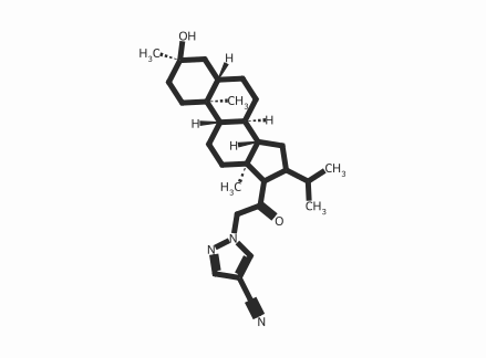 CC(C)C1C[C@H]2[C@@H]3CC[C@H]4C[C@](C)(O)CC[C@]4(C)[C@H]3CC[C@]2(C)C1C(=O)Cn1cc(C#N)cn1